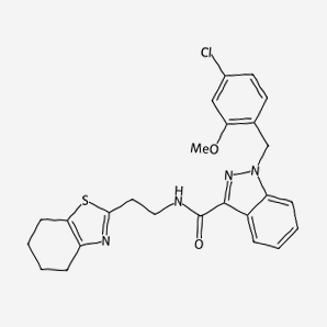 COc1cc(Cl)ccc1Cn1nc(C(=O)NCCc2nc3c(s2)CCCC3)c2ccccc21